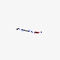 CC(C)CCNC(=N)CCCCCCC(=N)NCCNC(=O)[C@H](O)[C@@H](O)CCC(=O)NC(C)C